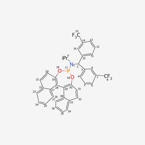 CC(C)N(C(c1cccc(C(F)(F)F)c1)c1cccc(C(F)(F)F)c1)p1oc2ccc3ccccc3c2c2c(ccc3ccccc32)o1